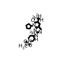 [2H]C1(Nc2ncc3cc(C([2H])([2H])[2H])c(=O)n(C4CCCC4)c3n2)CCN(S(C)(=O)=O)CC1